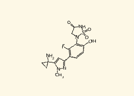 Cn1nc(-c2ccc(O)c(N3CC(=O)NS3(=O)=O)c2F)cc1C1(N)CC1